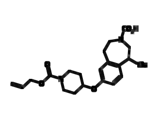 C=CCOC(=O)N1CCC(Oc2ccc3c(c2)CCN(C(=O)O)CC3C(C)(C)C)CC1